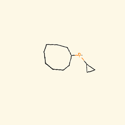 C1CCCCC([P]C2CC2)CCC1